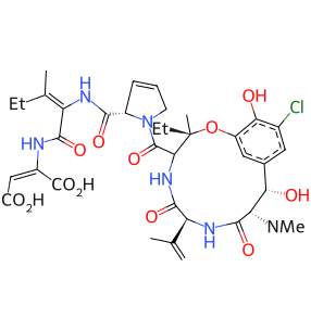 C=C(C)[C@@H]1NC(=O)[C@@H](NC)[C@@H](O)c2cc(Cl)c(O)c(c2)O[C@](C)(CC)C(C(=O)N2CC=C[C@H]2C(=O)N/C(C(=O)N/C(=C/C(=O)O)C(=O)O)=C(\C)CC)NC1=O